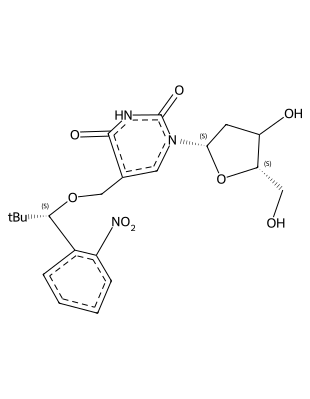 CC(C)(C)[C@H](OCc1cn([C@@H]2CC(O)[C@H](CO)O2)c(=O)[nH]c1=O)c1ccccc1[N+](=O)[O-]